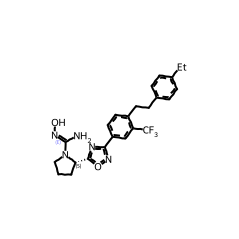 CCc1ccc(CCc2ccc(-c3noc([C@@H]4CCCN4/C(N)=N/O)n3)cc2C(F)(F)F)cc1